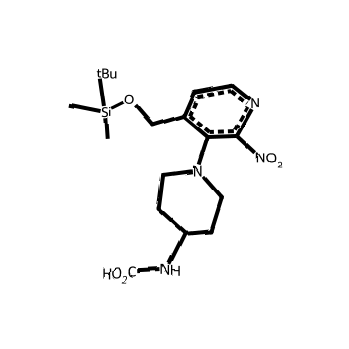 CC(C)(C)[Si](C)(C)OCc1ccnc([N+](=O)[O-])c1N1CCC(NC(=O)O)CC1